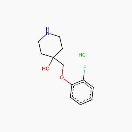 Cl.OC1(COc2ccccc2F)CCNCC1